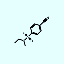 CCN(C)S(=O)(=O)c1ccc(C#N)cc1